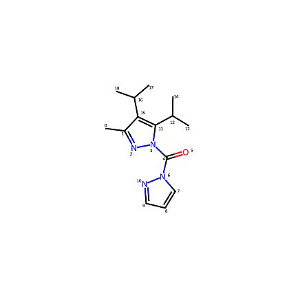 Cc1nn(C(=O)n2cccn2)c(C(C)C)c1C(C)C